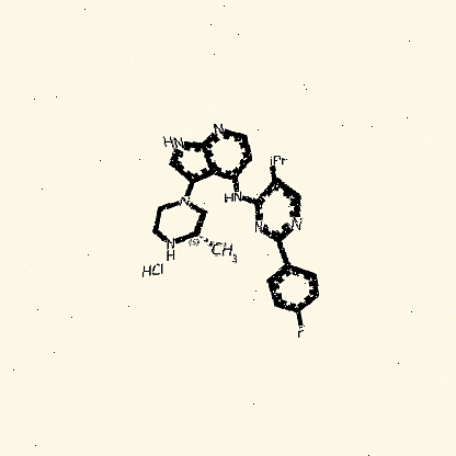 CC(C)c1cnc(-c2ccc(F)cc2)nc1Nc1ccnc2[nH]cc(N3CCN[C@@H](C)C3)c12.Cl